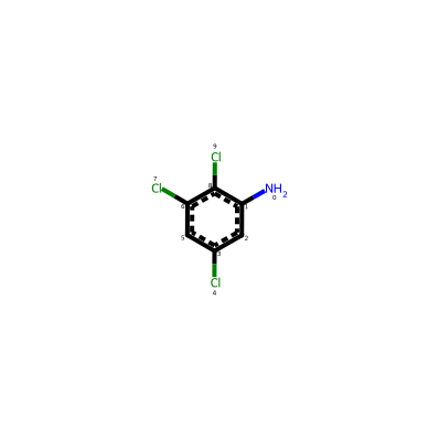 Nc1cc(Cl)cc(Cl)c1Cl